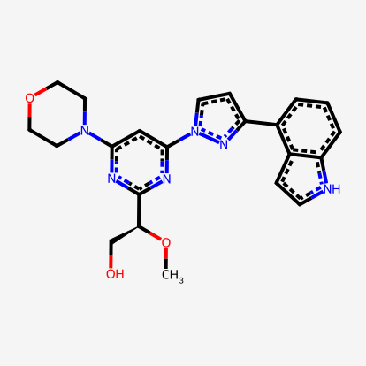 CO[C@@H](CO)c1nc(N2CCOCC2)cc(-n2ccc(-c3cccc4[nH]ccc34)n2)n1